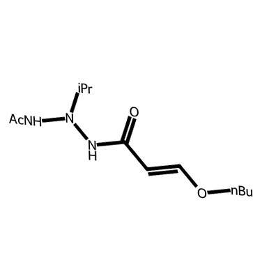 CCCCOC=CC(=O)NN(NC(C)=O)C(C)C